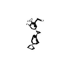 O=Cc1cc([C@@H]2C[C@H]2c2ccc(N3CCCC3)cc2)cc(F)c1O